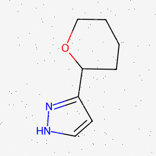 [c]1cc(C2CCCCO2)n[nH]1